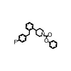 O=C(Oc1ccccc1)N1CCC(c2ccccc2Cc2ccc(F)cc2)CC1